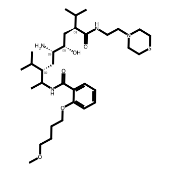 COCCCCOc1ccccc1C(=O)NC(C)[C@@H](C[C@H](N)[C@@H](O)C[C@H](C(=O)NCCN1CCSCC1)C(C)C)C(C)C